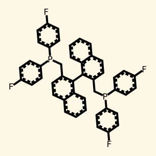 Fc1ccc(P(Cc2ccc3ccccc3c2-c2c(CP(c3ccc(F)cc3)c3ccc(F)cc3)ccc3ccccc23)c2ccc(F)cc2)cc1